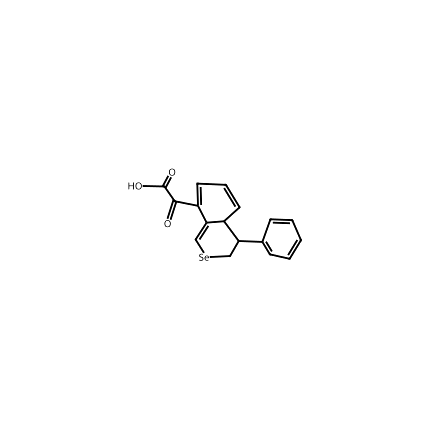 O=C(O)C(=O)C1=CC=CC2C1=C[Se]CC2c1ccccc1